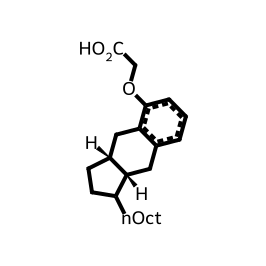 CCCCCCCCC1CC[C@@H]2Cc3c(cccc3OCC(=O)O)C[C@H]12